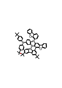 CC(C)(C)c1ccc(N(c2ccc(C(C)(C)C)cc2)c2ccc3c(c2)B2c4c(cc5c(oc6ccccc65)c4-c4cc(C(C)(C)C)cc5c6cc(C(C)(C)C)ccc6n2c45)N3c2cccc3c2oc2ccccc23)cc1